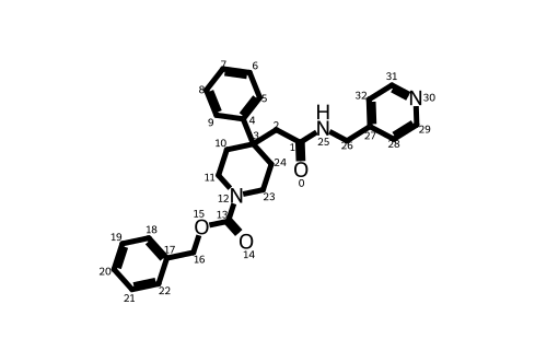 O=C(CC1(c2ccccc2)CCN(C(=O)OCc2ccccc2)CC1)NCc1ccncc1